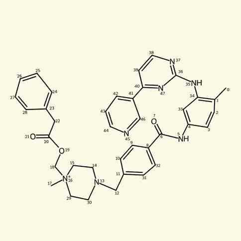 Cc1ccc(NC(=O)c2ccc(CN3CC[N+](C)(COC(=O)Cc4ccccc4)CC3)cc2)cc1Nc1nccc(-c2cccnc2)n1